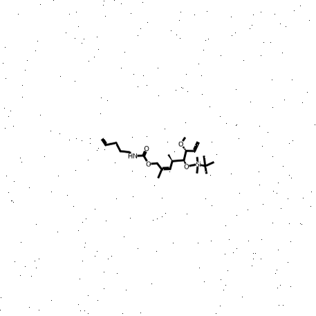 C=CCCCNC(=O)OC/C(C)=C\[C@@H](C)[C@H](O[Si](C)(C)C(C)(C)C)[C@H](C=C)OC